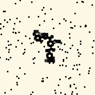 CC[C@@H]1C[C@H](C(=O)N[C@H]2CC[C@@](O)(C(F)(F)F)CC2)CCN1C(=O)c1cc(-c2cc(OC)ncc2F)[nH]n1